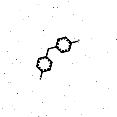 Cc1ccc([CH]c2ccc(F)cc2)cc1